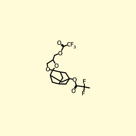 CC(F)(F)C(=O)OC12CC3CC(C1)C1(OCC(COC(=O)C(F)(F)F)O1)C(C3)C2